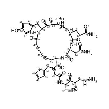 CC[C@H](C)C1NN[C@@H](CCC(N)=O)C(=O)N[C@@H](CC(N)=O)C(=O)N[C@H](C(=O)N(CC(=O)N[C@@H](CC(C)C)C(=O)C(=O)CNN)Cc2cccs2)CSSCCC(=O)N[C@@H](Cc2ccc(O)cc2)C(=O)C1=O